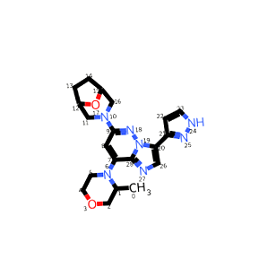 CC1COCCN1c1cc(N2CC3CCC(C2)O3)nn2c(-c3cc[nH]n3)cnc12